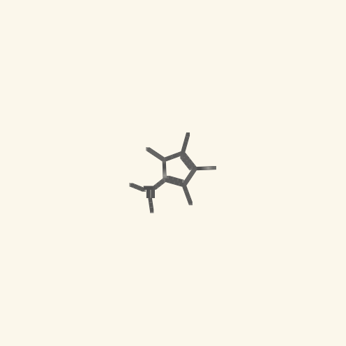 CC1=C(C)C(C)[C]([Ti]([CH3])[CH3])=C1C